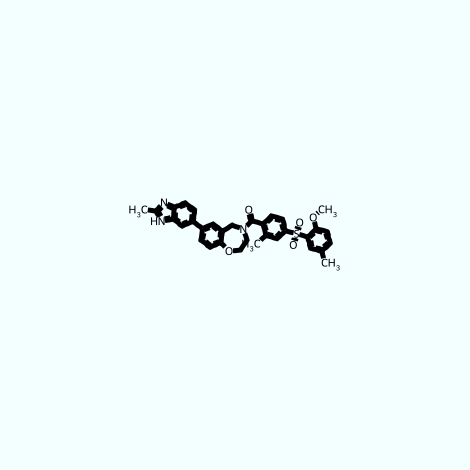 COc1ccc(C)cc1S(=O)(=O)c1ccc(C(=O)N2CCOc3ccc(-c4ccc5nc(C)[nH]c5c4)cc3C2)c(C)c1